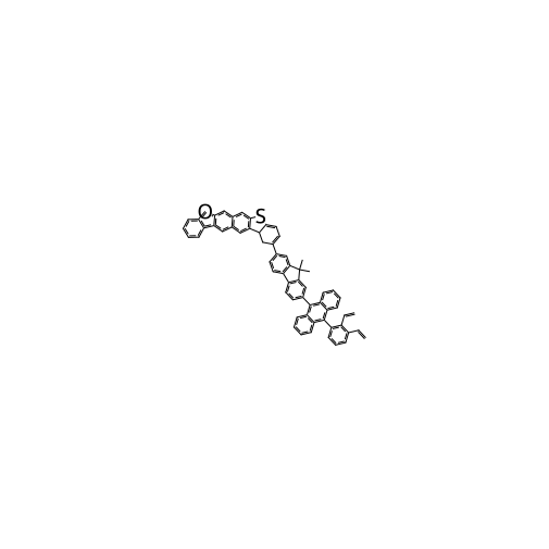 C=Cc1cccc(-c2c3ccccc3c(-c3ccc4c(c3)C(C)(C)c3cc(C5=CC=C6Sc7cc8cc9oc%10ccccc%10c9cc8cc7C6C5)ccc3-4)c3ccccc23)c1C=C